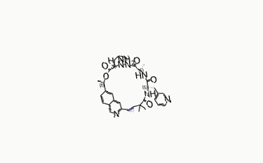 C[C@@H]1NC(=O)[C@H](Cc2cccnc2)NC(=O)C(C)(C)/C=C/c2cc3cc(ccc3cn2)[C@@H](C)OC(=O)[C@@H]2CCCN(C1=O)N2N